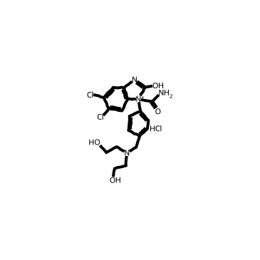 Cl.NC(=O)[N+]1(c2ccc(CN(CCO)CCO)cc2)C(O)=Nc2cc(Cl)c(Cl)cc21